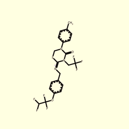 Cc1ccc(N2CS/C(=N/Cc3ccc(OC(F)(F)C(F)F)cc3)N(CC(F)(F)F)C2=O)cc1